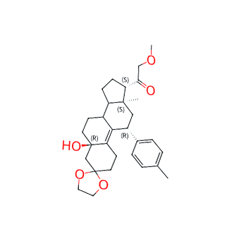 COCC(=O)[C@H]1CCC2C3CC[C@@]4(O)CC5(CCC4=C3[C@@H](c3ccc(C)cc3)C[C@@]21C)OCCO5